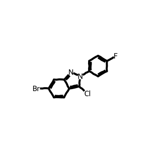 Fc1ccc(-n2nc3cc(Br)ccc3c2Cl)cc1